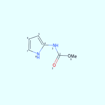 COC(=O)Nc1ccc[nH]1